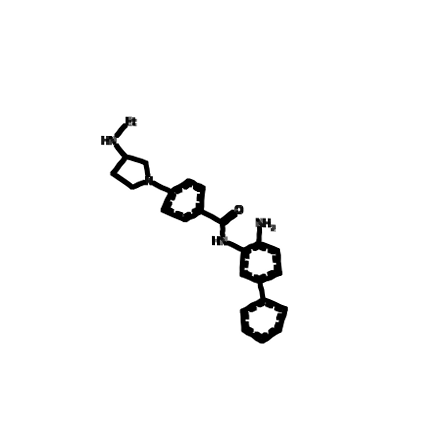 CCNC1CCN(c2ccc(C(=O)Nc3cc(-c4ccccc4)ccc3N)cc2)C1